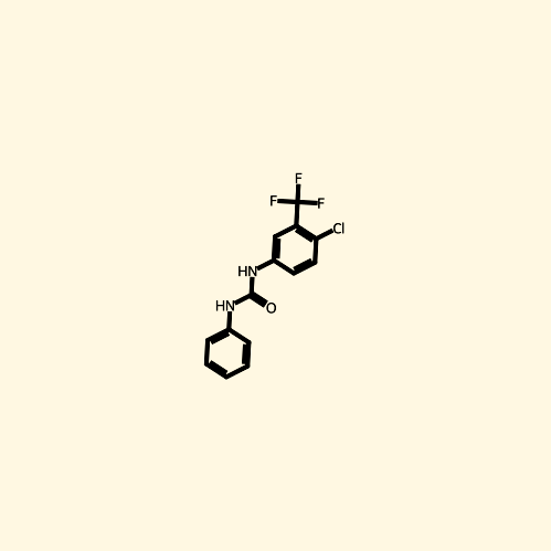 O=C(Nc1ccccc1)Nc1ccc(Cl)c(C(F)(F)F)c1